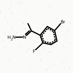 CC(=NN)c1cc(Br)ccc1F